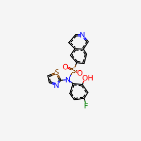 O=S(=O)(c1ccc2cnccc2c1)N(c1nccs1)c1ccc(F)cc1O